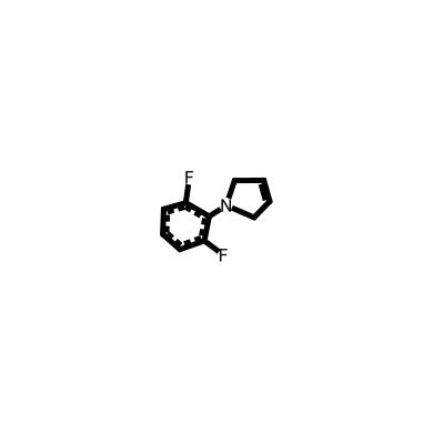 Fc1cccc(F)c1N1CC=CC1